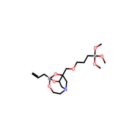 C=CC[Si]12OCCN(CCO1)CC(COCCC[Si](OC)(OC)OC)O2